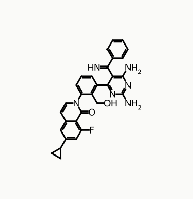 N=C(c1ccccc1)c1c(N)nc(N)nc1-c1cccc(-n2ccc3cc(C4CC4)cc(F)c3c2=O)c1CO